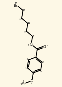 CCCOc1ccc(C(=O)OCCCCCBr)cc1